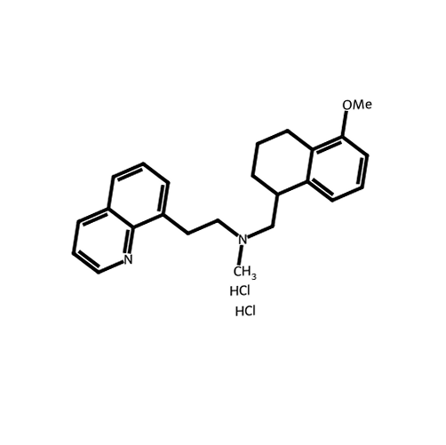 COc1cccc2c1CCCC2CN(C)CCc1cccc2cccnc12.Cl.Cl